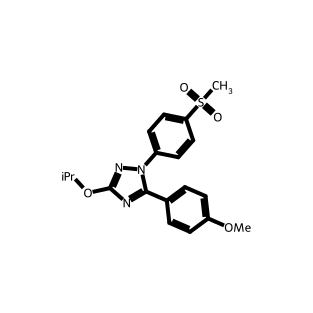 COc1ccc(-c2nc(OC(C)C)nn2-c2ccc(S(C)(=O)=O)cc2)cc1